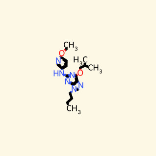 CCCCn1cnc2c(OCC(C)C)nc(Nc3ccc(OCC)nc3)nc21